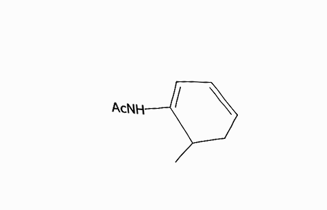 CC(=O)NC1=CC=CCC1C